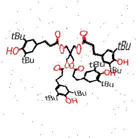 CC(C)(C)C1=CC(CCC(=O)OCC(COC(=O)CCC2=CC(C(C)(C)C)=C(O)C(C(C)(C)C)C2)(COC(=O)CCC2CC(C(C)(C)C)=C(O)C(C(C)(C)C)C2)COC(=O)CCC2CC(C(C)(C)C)=C(O)C(C(C)(C)C)C2)CC(C(C)(C)C)=C1O